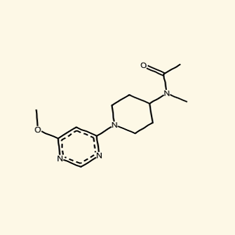 COc1cc(N2CCC(N(C)C(C)=O)CC2)ncn1